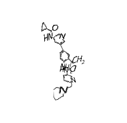 C=C(C(=O)Nc1ccc(CN2CCCCC2)nc1)c1cc(-c2cncc(NC(=O)C3CC3)c2)ccc1N